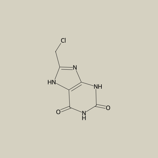 O=c1[nH]c(=O)c2[nH]c(CCl)nc2[nH]1